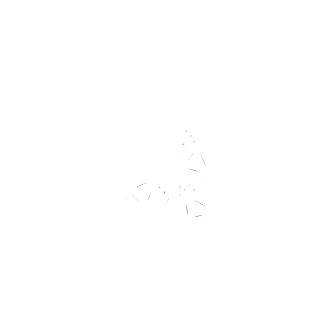 O=C(Nc1ccc2c(c1)OCO2)c1nn(Cc2ccc(S(=O)(=O)N3CCOCC3)cc2)c2ccccc12